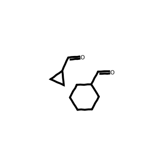 O=CC1CC1.O=CC1CCCCC1